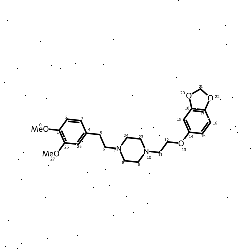 COc1ccc(CCN2CCN(CCOc3ccc4c(c3)OCO4)CC2)cc1OC